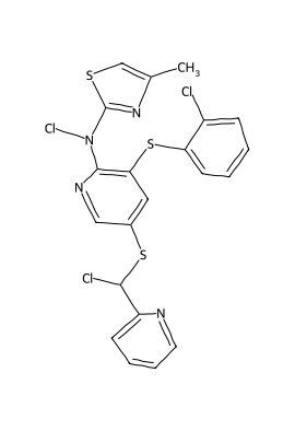 Cc1csc(N(Cl)c2ncc(SC(Cl)c3ccccn3)cc2Sc2ccccc2Cl)n1